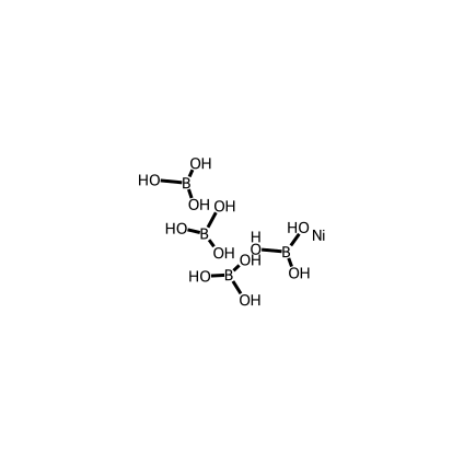 OB(O)O.OB(O)O.OB(O)O.OB(O)O.[Ni]